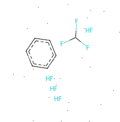 F.F.F.F.FC(F)F.c1ccccc1